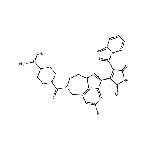 CN(C)C1CCN(C(=O)N2CCn3cc(C4=C(c5cnc6ccccn56)C(=O)NC4=O)c4cc(F)cc(c43)C2)CC1